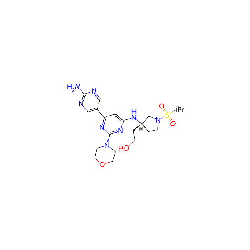 CC(C)S(=O)(=O)N1CC[C@](CCO)(Nc2cc(-c3cnc(N)nc3)nc(N3CCOCC3)n2)C1